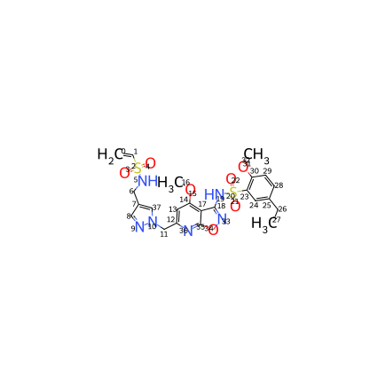 C=CS(=O)(=O)NCc1cnn(Cc2cc(OC)c3c(NS(=O)(=O)c4cc(CC)ccc4OC)noc3n2)c1